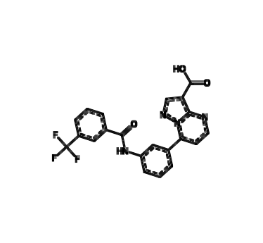 O=C(Nc1cccc(-c2ccnc3c(C(=O)O)cnn23)c1)c1cccc(C(F)(F)F)c1